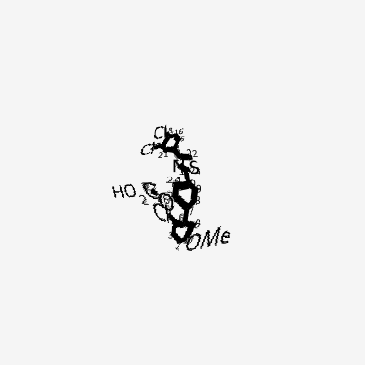 COc1ccc(Cl)c(-c2ccc(-c3nc(-c4ccc(Cl)c(Cl)c4)cs3)cc2OC(=O)O)c1